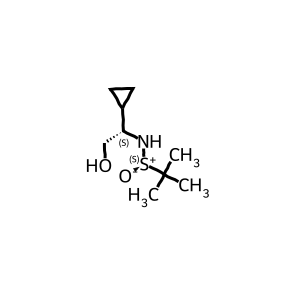 CC(C)(C)[S@@+]([O-])N[C@H](CO)C1CC1